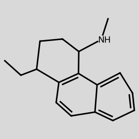 CCC1CCC(NC)c2c1ccc1ccccc21